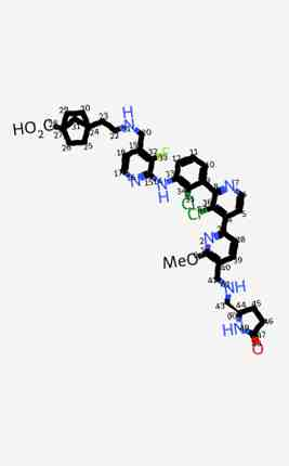 COc1nc(-c2ccnc(-c3cccc(Nc4nccc(CNCCC56CCC(C(=O)O)(CC5)C6)c4F)c3Cl)c2Cl)ccc1CNC[C@H]1CCC(=O)N1